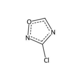 Clc1ncon1